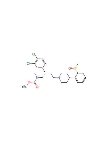 CN(C[C@@H](CCN1CCC(c2ccccc2[S+](C)[O-])CC1)c1ccc(Cl)c(Cl)c1)C(=O)OC(C)(C)C